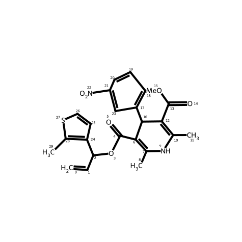 C=CC(OC(=O)C1=C(C)NC(C)=C(C(=O)OC)C1c1cccc([N+](=O)[O-])c1)c1ccsc1C